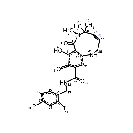 CN1C(=O)c2c(O)c(=O)c(C(=O)NCc3ccc(F)cc3F)cn2NC/C=C\C1(C)C